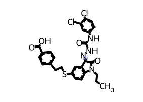 CCCN1C(=O)/C(=N\NC(=O)Nc2ccc(Cl)c(Cl)c2)c2cc(SCCc3ccc(C(=O)O)cc3)ccc21